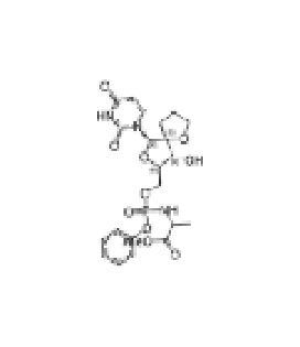 COC(=O)C(C)NP(=O)(OC[C@H]1O[C@@H](n2ccc(=O)[nH]c2=O)[C@@]2(CCCO2)[C@@H]1O)Oc1ccccc1